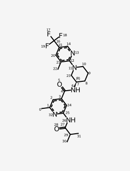 Cc1cc(C(=O)N[C@@H]2CCCN(c3ncc(C(F)(F)F)cc3C)C2)cc(NC(=O)C(C)C)n1